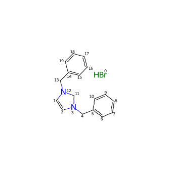 Br.C1=CN(Cc2ccccc2)CN1Cc1ccccc1